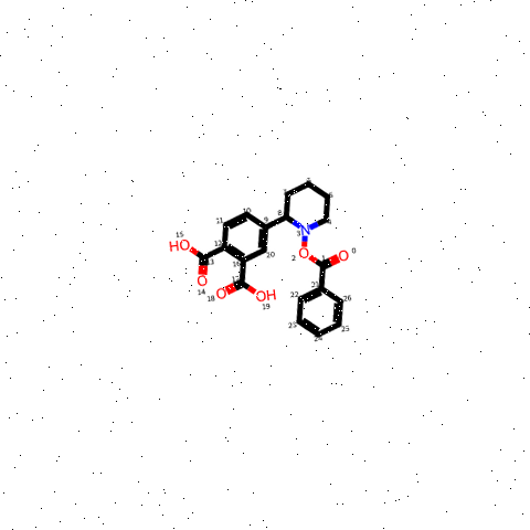 O=C(ON1CCCCC1c1ccc(C(=O)O)c(C(=O)O)c1)c1ccccc1